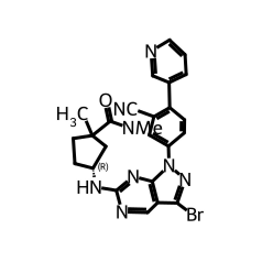 CNC(=O)C1(C)CC[C@@H](Nc2ncc3c(Br)nn(-c4ccc(-c5cccnc5)c(C#N)c4)c3n2)C1